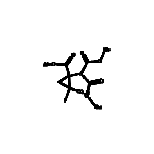 COC(=O)C1(N(C(=O)OC(C)(C)C)C(=O)OC(C)(C)C)CC1(F)C(=O)O